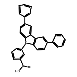 OB(O)c1cccc(-n2c3ccc(-c4ccccc4)cc3c3cc(-c4ccccc4)ccc32)c1